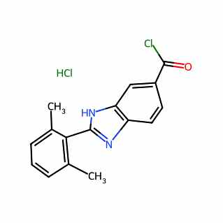 Cc1cccc(C)c1-c1nc2ccc(C(=O)Cl)cc2[nH]1.Cl